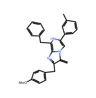 C=c1c(Cc2ccc(OC)cc2)nc2n1C=C(c1cccc(C)c1)NC=2Cc1ccccc1